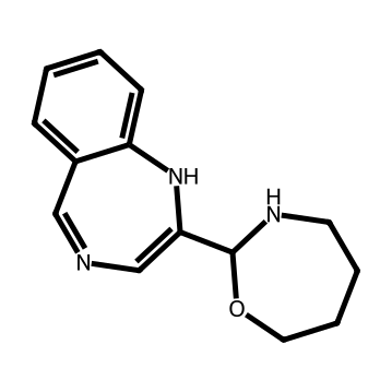 C1=NC=C(C2NCCCCO2)Nc2ccccc21